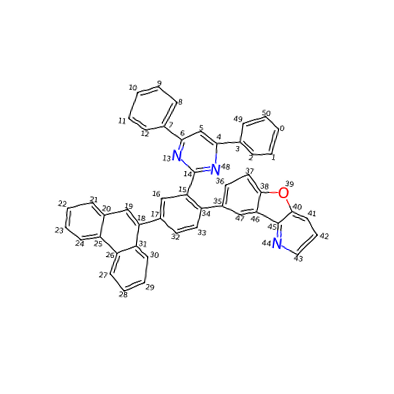 c1ccc(-c2cc(-c3ccccc3)nc(-c3cc(-c4cc5ccccc5c5ccccc45)ccc3-c3ccc4oc5cccnc5c4c3)n2)cc1